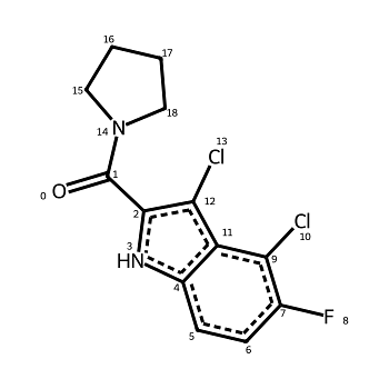 O=C(c1[nH]c2ccc(F)c(Cl)c2c1Cl)N1CCCC1